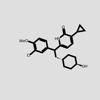 COc1ccc(C(C[C@H]2CC[C@H](O)CC2)c2ccc(C3CC3)c(=O)[nH]2)cc1Cl